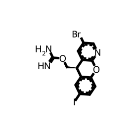 N=C(N)OC[C@@H]1c2cc(I)ccc2Oc2ncc(Br)cc21